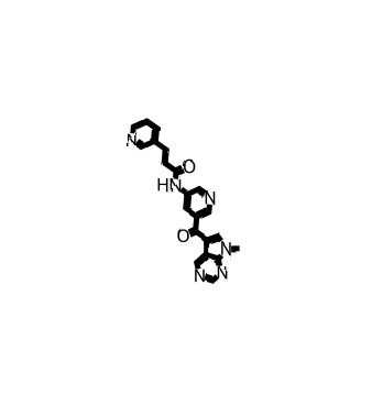 Cn1cc(C(=O)c2cncc(NC(=O)CCc3cccnc3)c2)c2cncnc21